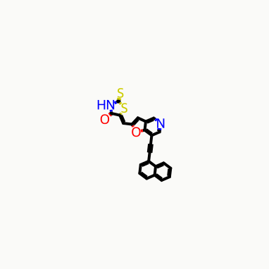 O=C1NC(=S)S/C1=C\c1cc2cncc(C#Cc3cccc4ccccc34)c2o1